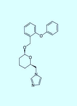 c1ccc(Oc2ccccc2CO[C@@H]2CCC[C@H](Cn3ccnc3)O2)cc1